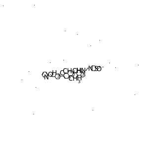 CC1(C)C(C2=CCC(COc3ccccn3)CC2)=CCC2(C)C1CCC1(C)C3CCC4(NCCN5CC[S+]([O-])CC5)CCC[C@@H]4C3CCC12